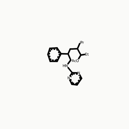 CCC(OC(C)=O)C(CC(CNc1ncccn1)c1ccccc1)C(C)C